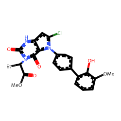 CCC(C(=O)OC)n1c(=O)[nH]c2cc(Cl)n(-c3ccc(-c4cccc(OC)c4O)cc3)c2c1=O